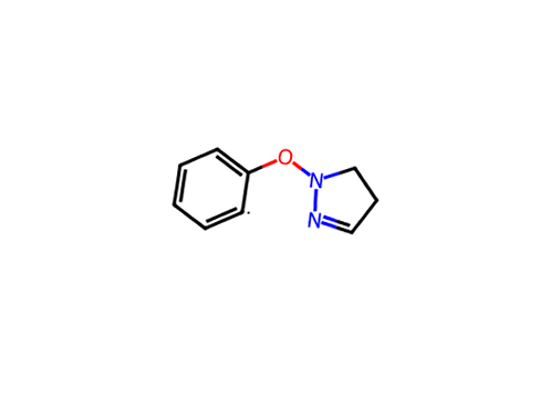 [c]1ccccc1ON1CCC=N1